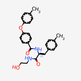 Cc1ccc(/C=C(\NC(=O)c2ccc(Oc3ccc(C)cc3)cc2)C(=O)NCCO)cc1